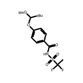 COC(Oc1ccc(C(=O)NS(=O)(=O)C(C)(F)F)cc1)C(C)(C)C